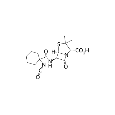 CC1(C)S[C@@H]2[C@H](NC(=O)C3(N=C=O)CCCCC3)C(=O)N2[C@H]1C(=O)O